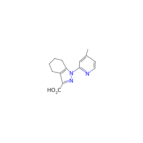 Cc1ccnc(-n2nc(C(=O)O)c3c2CCCC3)c1